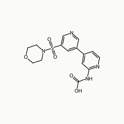 O=C(O)Nc1cc(-c2cncc(S(=O)(=O)N3CCOCC3)c2)ccn1